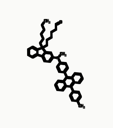 CCCCCCC1(CCCCCC=O)c2ccccc2-c2ccc(N(C)c3ccc(-c4c5ccccc5c(-c5ccc(C)cc5)c5ccccc45)cc3)cc21